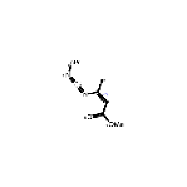 CCCN=C=N/C(C)=C\C(=O)OC